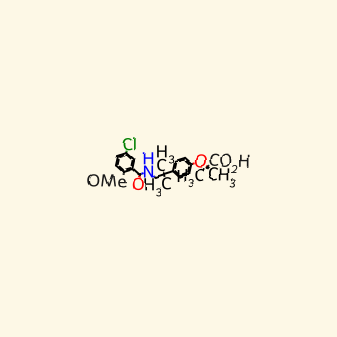 COc1ccc(Cl)cc1C(=O)NCC(C)(C)c1ccc(OC(C)(C)C(=O)O)cc1